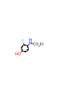 CCOC(=O)Nc1ccc(O)cc1F